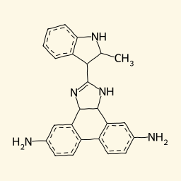 CC1Nc2ccccc2C1C1=NC2c3cc(N)ccc3-c3ccc(N)cc3C2N1